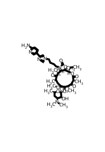 CC[C@H]1OC(=O)[C@H](C)C(=O)[C@H](C)[C@@H](O[C@@H]2O[C@H](C)C[C@H](N(C)C)[C@H]2O)[C@@](C)(OC)C[C@@H](C)C(=O)[C@H](C)[C@H]2N(CCCCn3cnc(-c4ccc(N)nc4)c3)C(=O)O[C@]12C